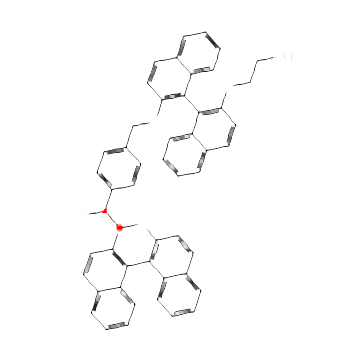 OCCOc1ccc2ccccc2c1-c1c(OCc2ccc(COc3ccc4ccccc4c3-c3c(OCCO)ccc4ccccc34)cc2)ccc2ccccc12